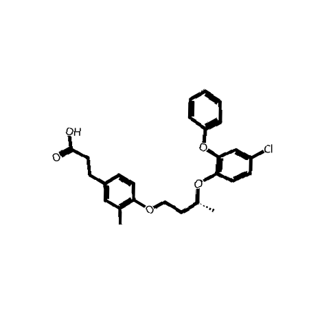 Cc1cc(CCC(=O)O)ccc1OCC[C@@H](C)Oc1ccc(Cl)cc1Oc1ccccc1